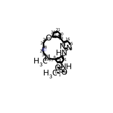 CCS(=O)(=O)Nc1cc2cc(c1)Nc1nccc(n1)-c1cccc(c1)OCC/C=C/CN(C)C2